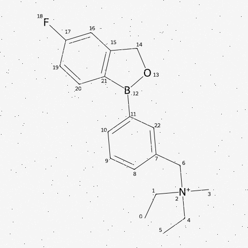 CC[N+](C)(CC)Cc1cccc(B2OCc3cc(F)ccc32)c1